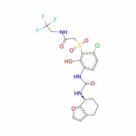 O=C(CS(=O)(=O)c1c(Cl)ccc(NC(=O)N[C@H]2CCCc3ccoc32)c1O)NCC(F)(F)F